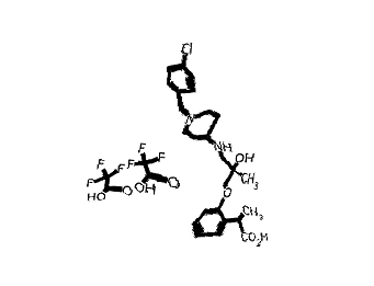 CC(C(=O)O)c1ccccc1OC[C@@](C)(O)CNC1CCN(Cc2ccc(Cl)cc2)CC1.O=C(O)C(F)(F)F.O=C(O)C(F)(F)F